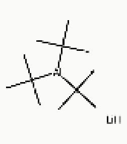 C[C](C)(C)[Al]([C](C)(C)C)[C](C)(C)C.[LiH]